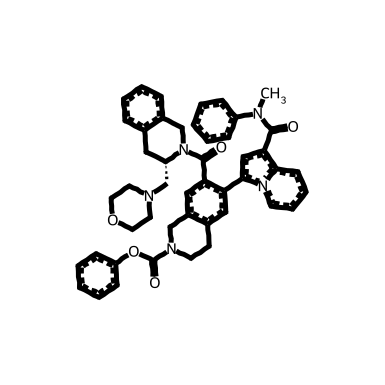 CN(C(=O)c1cc(-c2cc3c(cc2C(=O)N2Cc4ccccc4C[C@H]2CN2CCOCC2)CN(C(=O)Oc2ccccc2)CC3)n2ccccc12)c1ccccc1